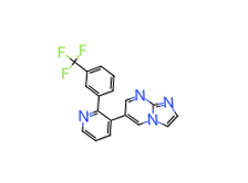 FC(F)(F)c1cccc(-c2ncccc2-c2cnc3nccn3c2)c1